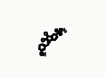 NS(=O)(=O)c1ccc2c(c1)C(=O)C(=O)N2Cc1cccc(O)c1